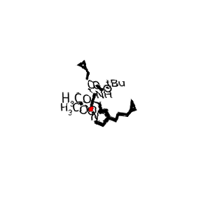 CC(C)(C)OC(=O)N[C@@H](COCCC1CC1)[C@@]1(Cc2cc(CCCC3CC3)ccn2)OC(C)(C)OC1=O